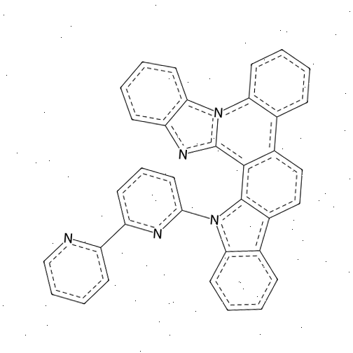 c1ccc(-c2cccc(-n3c4ccccc4c4ccc5c6ccccc6n6c7ccccc7nc6c5c43)n2)nc1